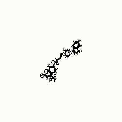 O=c1cc(C(F)(F)F)c2ccc(OCCCCN3CCN(c4nsc5ccccc45)CC3)cc2o1